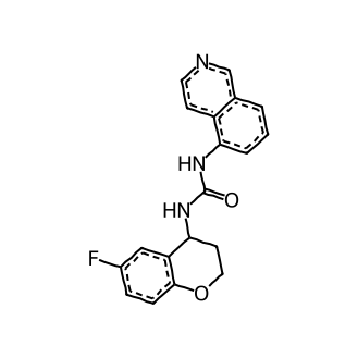 O=C(Nc1cccc2cnccc12)NC1CCOc2ccc(F)cc21